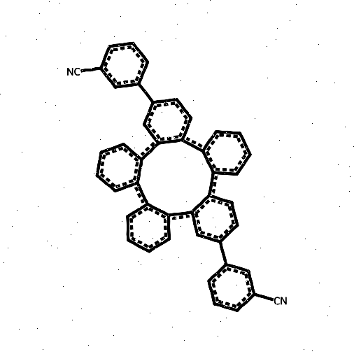 N#Cc1cccc(-c2ccc3c4ccccc4c4ccc(-c5cccc(C#N)c5)cc4c4ccccc4c4ccccc4c3c2)c1